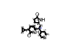 O=C1CC[C@H](/C=C(/c2ccncc2)c2ccc(C3CC3)c(=O)[nH]2)N1